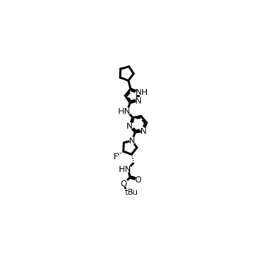 CC(C)(C)OC(=O)NC[C@H]1CN(c2nccc(Nc3cc(C4CCCC4)[nH]n3)n2)C[C@H]1F